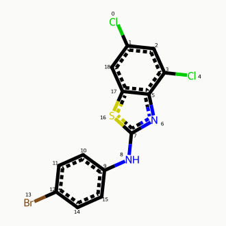 Clc1cc(Cl)c2nc(Nc3ccc(Br)cc3)sc2c1